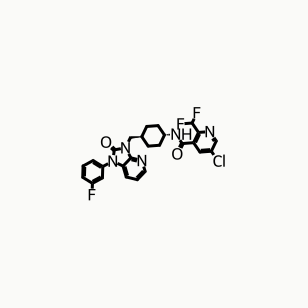 O=C(N[C@H]1CC[C@H](Cn2c(=O)n(-c3cccc(F)c3)c3cccnc32)CC1)c1cc(Cl)cnc1C(F)F